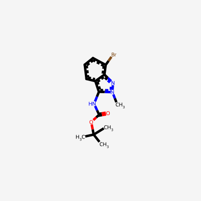 Cn1nc2c(Br)cccc2c1NC(=O)OC(C)(C)C